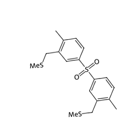 CSCc1cc(S(=O)(=O)c2ccc(C)c(CSC)c2)ccc1C